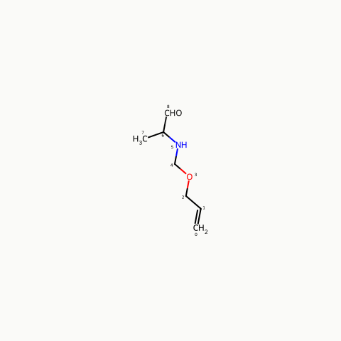 C=CCOCNC(C)C=O